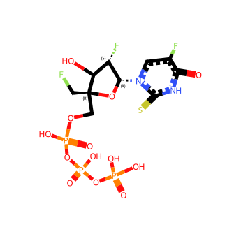 O=c1[nH]c(=S)n([C@@H]2O[C@](CF)(COP(=O)(O)OP(=O)(O)OP(=O)(O)O)C(O)[C@@H]2F)cc1F